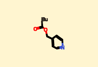 CCC(C)C(=O)OCc1ccncc1